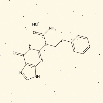 Cl.NC(=O)N(CCc1ccccc1)c1nc2[nH]cnc2c(=O)[nH]1